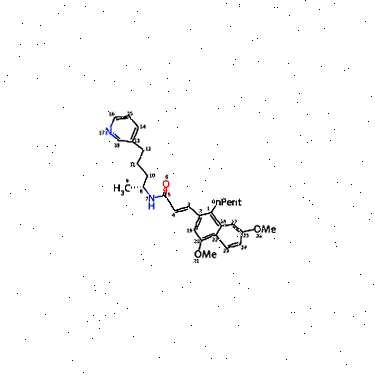 CCCCCc1c(/C=C/C(=O)N[C@H](C)CCCc2cccnc2)cc(OC)c2ccc(OC)cc12